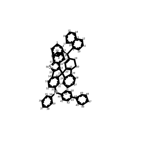 C1=C([C@@H](c2ccccc2)c2cccc3ccccc23)CCC2=C1C1(c3ccccc32)c2cc(N(c3ccccc3)c3ccc(-c4ccccc4)cc3)ccc2-c2sc3ccccc3c21